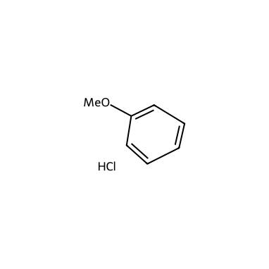 COc1ccccc1.Cl